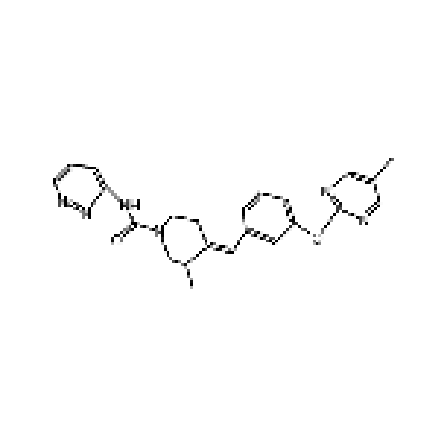 Cc1cnc(Oc2cccc(C=C3CCN(C(=O)Nc4cccnn4)CC3C)c2)nc1